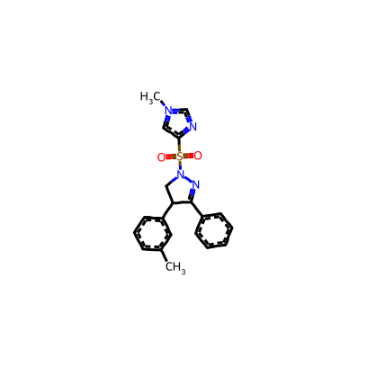 Cc1cccc(C2CN(S(=O)(=O)c3cn(C)cn3)N=C2c2ccccc2)c1